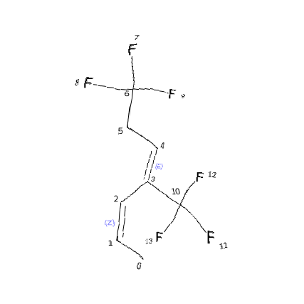 C/C=C\C(=C/CC(F)(F)F)C(F)(F)F